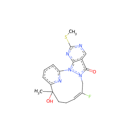 CSc1ncc2c(=O)n3n(c2n1)-c1cccc(n1)C(C)(O)CCC=C(F)C3